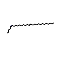 CCCC/C=C\CCCCCCC[CH]C=CCCCCCCCCCCCC